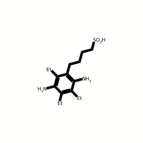 CCc1c(N)c(CC)c(CCCCS(=O)(=O)O)c(N)c1CC